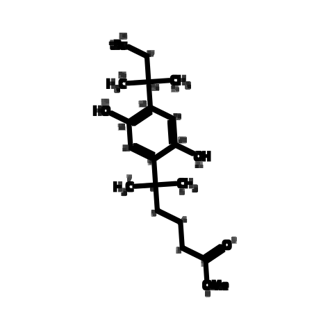 COC(=O)CCCC(C)(C)c1cc(O)c(C(C)(C)CC(C)(C)C)cc1O